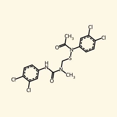 CC(=O)N(SCN(C)C(=O)Nc1ccc(Cl)c(Cl)c1)c1ccc(Cl)c(Cl)c1